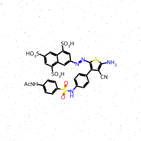 CC(=O)Nc1ccc(S(=O)(=O)Nc2ccc(-c3c(/N=N/c4cc(S(=O)(=O)O)c5cc(S(=O)(=O)O)cc(S(=O)(=O)O)c5c4)sc(N)c3C#N)cc2)cc1